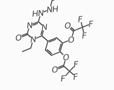 CCNNc1nc(-c2ccc(OC(=O)C(F)(F)F)c(OC(=O)C(F)(F)F)c2)n(CC)c(=O)n1